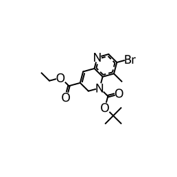 CCOC(=O)C1=Cc2ncc(Br)c(C)c2N(C(=O)OC(C)(C)C)C1